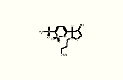 COCCC[C@@H]1SCC(O)C1(O)C1=CC=C(S(N)(=O)=O)S(=O)(=O)N1